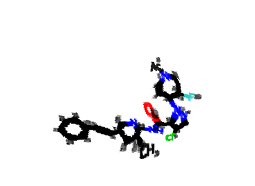 CC(=O)N1CCC(n2ncc(Cl)c2C(=O)Nc2ncc(C#Cc3ccccc3)cc2C)[C@H](F)C1